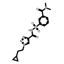 CN(C)C(=O)c1cccc(S(=O)(=O)NC(=O)c2cn(CCC3CC3)nn2)c1